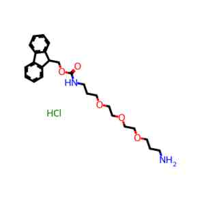 Cl.NCCCOCCOCCOCCCNC(=O)OCC1c2ccccc2-c2ccccc21